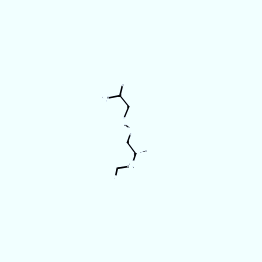 CC(=O)CN[C@@H](CSSCC(N)C(=O)O)C(=O)O